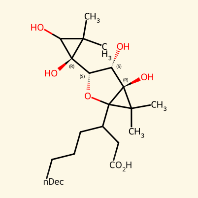 CCCCCCCCCCCCCC(CC(=O)O)C12O[C@H]([C@]3(O)C(O)C3(C)C)[C@H](O)[C@]1(O)C2(C)C